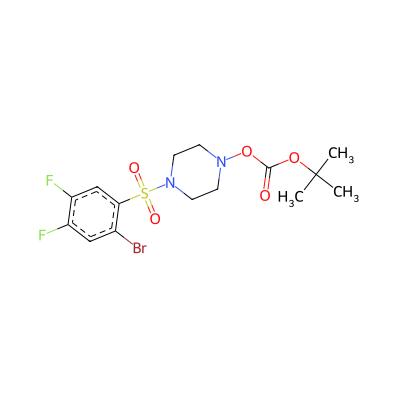 CC(C)(C)OC(=O)ON1CCN(S(=O)(=O)c2cc(F)c(F)cc2Br)CC1